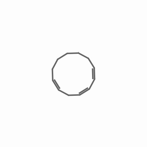 [CH]1CC=CC=CCC=CCCC1